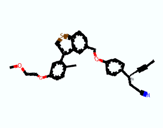 CC#C[C@@H](CC#N)c1ccc(OCc2ccc3scc(-c4cc(OCCOC)ccc4C)c3c2)cc1